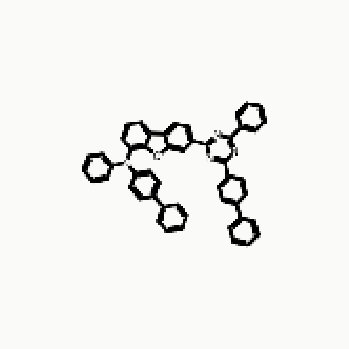 c1ccc(-c2ccc(-c3nc(-c4ccccc4)nc(-c4ccc5c(c4)oc4c(N(c6ccccc6)c6ccc(-c7ccccc7)cc6)cccc45)n3)cc2)cc1